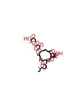 CC[C@@H](C)[C@H]1O[C@]2(C=C[C@@H]1C)C[C@@H]1C[C@@H](C/C=C(\C)[C@@H](O[C@H]3C[C@H](OC)[C@@H](O[C@H]4C[C@H](OC)[C@H](O)[C@H](C)O4)[C@H](C)O3)[C@@H](C)/C=C/C=C3\CO[C@@H]4[C@H](O)C(C)=C[C@@H](C(=O)O1)[C@]34O)O2